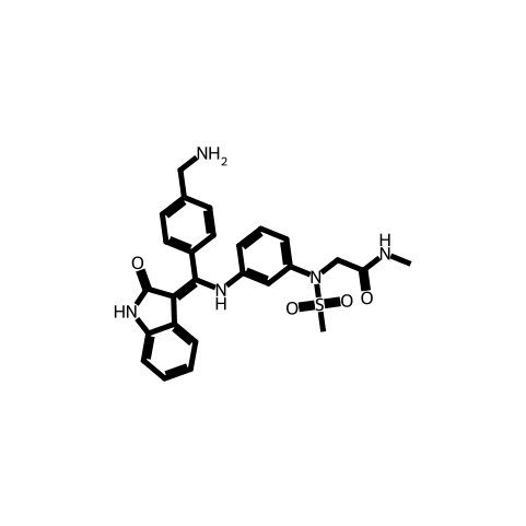 CNC(=O)CN(c1cccc(NC(=C2C(=O)Nc3ccccc32)c2ccc(CN)cc2)c1)S(C)(=O)=O